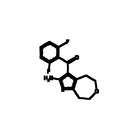 Nc1sc2c(c1C(=O)c1c(F)cccc1F)CCOCC2